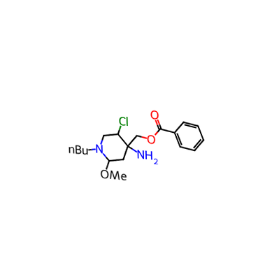 CCCCN1CC(Cl)C(N)(COC(=O)c2ccccc2)CC1OC